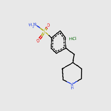 Cl.NS(=O)(=O)c1ccc(CC2CCNCC2)cc1